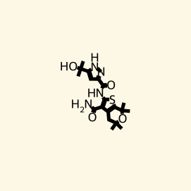 CC1(C)Cc2c(sc(NC(=O)c3cc(C(C)(C)O)[nH]n3)c2C(N)=O)C(C)(C)O1